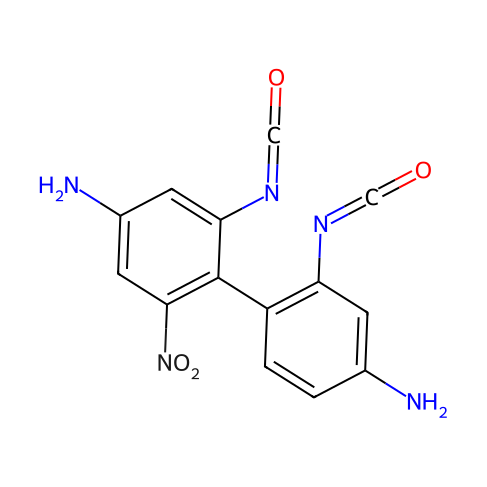 Nc1ccc(-c2c(N=C=O)cc(N)cc2[N+](=O)[O-])c(N=C=O)c1